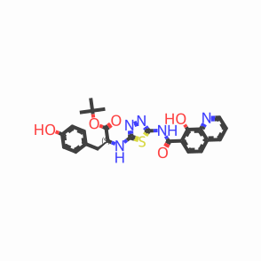 CC(C)(C)OC(=O)[C@H](Cc1ccc(O)cc1)Nc1nnc(NC(=O)c2ccc3cccnc3c2O)s1